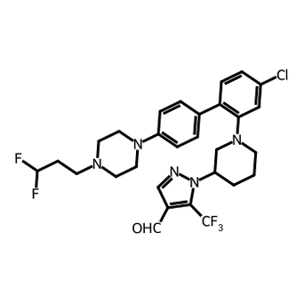 O=Cc1cnn(C2CCCN(c3cc(Cl)ccc3-c3ccc(N4CCN(CCC(F)F)CC4)cc3)C2)c1C(F)(F)F